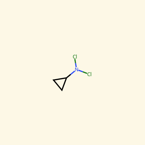 ClN(Cl)C1CC1